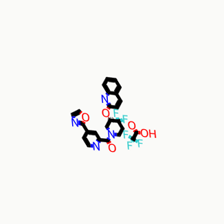 O=C(O)C(F)(F)F.O=C(c1cc(-c2ncco2)ccn1)N1CCC(F)(F)[C@@H](Oc2ccc3ccccc3n2)C1